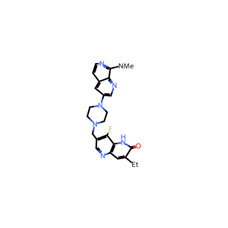 CCc1cc2ncc(CN3CCN(c4cnc5c(NC)nccc5c4)CC3)c(F)c2[nH]c1=O